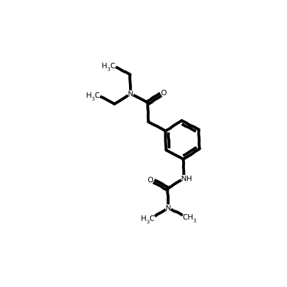 CCN(CC)C(=O)Cc1cccc(NC(=O)N(C)C)c1